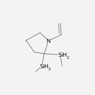 C=CN1CCCC1([SiH2]C)[SiH2]C